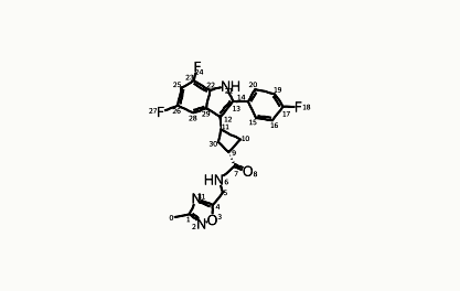 Cc1noc(CNC(=O)[C@H]2C[C@H](c3c(-c4ccc(F)cc4)[nH]c4c(F)cc(F)cc43)C2)n1